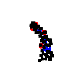 CC(C)CC(CNC(=O)c1cccc2nc(CC(=O)N3CCC4(CC3)OCCO4)cn12)c1ccccc1